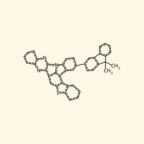 CC1(C)c2ccccc2-c2cc(-c3ccc4c(c3)c3c5c(cc6c7nc8ccccc8nc7n4c63)sc3ccccc35)ccc21